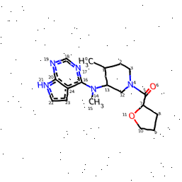 CC1CCN(C(=O)C2CCCO2)CC1N(C)c1ncnc2[nH]ccc12